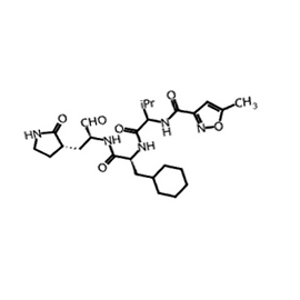 Cc1cc(C(=O)NC(C(=O)N[C@@H](CC2CCCCC2)C(=O)N[C@H](C=O)C[C@@H]2CCNC2=O)C(C)C)no1